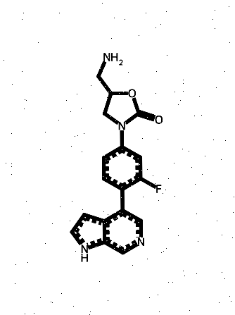 NCC1CN(c2ccc(-c3cncc4[nH]ccc34)c(F)c2)C(=O)O1